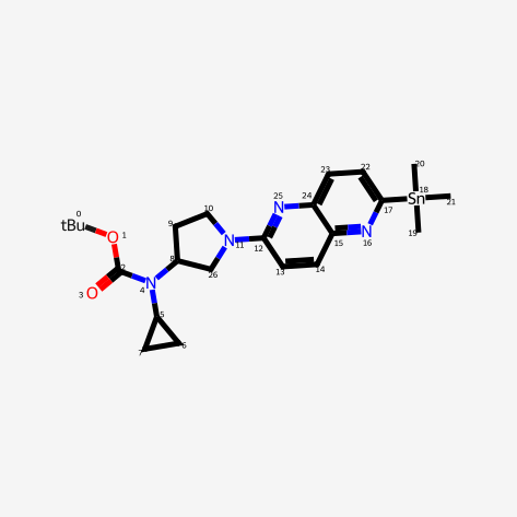 CC(C)(C)OC(=O)N(C1CC1)C1CCN(c2ccc3n[c]([Sn]([CH3])([CH3])[CH3])ccc3n2)C1